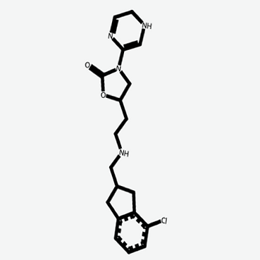 O=C1OC(CCNCC2Cc3cccc(Cl)c3C2)CN1C1=CNCC=N1